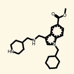 COC(=O)c1ccc2c(c1)c(CNCC1CCNCC1)cn2CC1CCCCC1